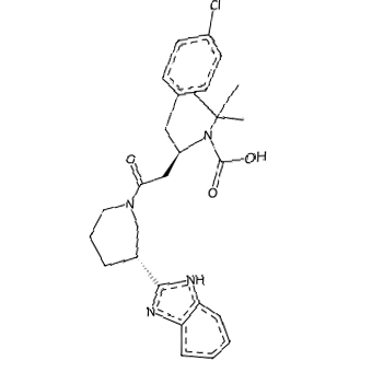 CC(C)(C)N(C(=O)O)[C@@H](CC(=O)N1CCC[C@@H](c2nc3ccccc3[nH]2)C1)Cc1ccc(Cl)cc1